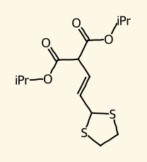 CC(C)OC(=O)C(C=CC1SCCS1)C(=O)OC(C)C